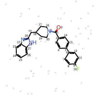 O=C(c1ccc(-c2ccc(F)cc2)cc1)N1CCC(Cc2nc3ccccc3[nH]2)CC1